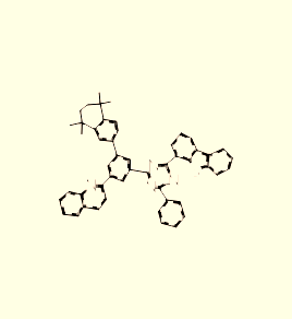 CC1(C)CCC(C)(C)c2cc(-c3cc(-c4ccc5ccccc5n4)cc(-c4nc(-c5ccccc5)nc(-c5cccc6c5sc5ccccc56)n4)c3)ccc21